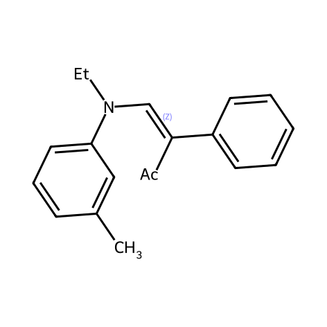 CCN(/C=C(\C(C)=O)c1ccccc1)c1cccc(C)c1